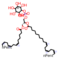 CCCCC/C=C\C/C=C\C/C=C\CCCCCCCCC(=O)O[C@H](COC(=O)CCCC/C=C\C/C=C\C/C=C\CCCCC)COP(=O)(O)OC1C(O)C(O)C(O)[C@@H](O)C1O